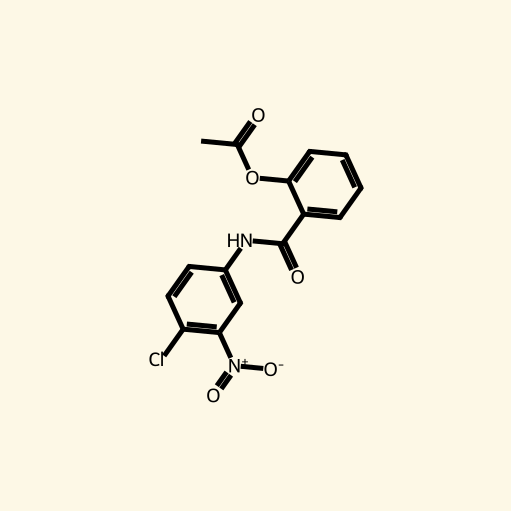 CC(=O)Oc1ccccc1C(=O)Nc1ccc(Cl)c([N+](=O)[O-])c1